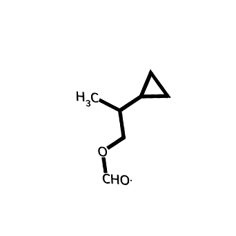 CC(CO[C]=O)C1CC1